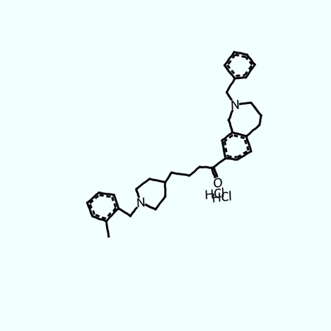 Cc1ccccc1CN1CCC(CCCC(=O)c2ccc3c(c2)CN(Cc2ccccc2)CCC3)CC1.Cl.Cl